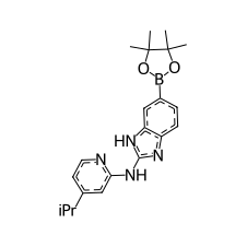 CC(C)c1ccnc(Nc2nc3ccc(B4OC(C)(C)C(C)(C)O4)cc3[nH]2)c1